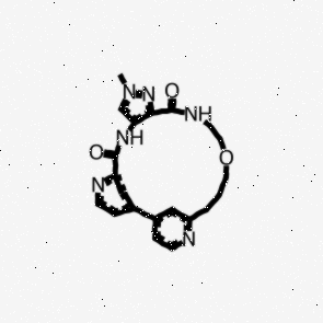 Cn1cc2c(n1)C(=O)NCCOCCCc1cc(ccn1)-c1ccnc(c1)C(=O)N2